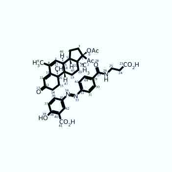 CC(=O)O[C@]1(C(C)=O)CC[C@H]2[C@@H]3C=C(C)C4=CC(=O)CC[C@]4(C)[C@H]3CC[C@@]21C.O=C(O)CCNC(=O)c1ccc(/N=N/c2ccc(O)c(C(=O)O)c2)cc1